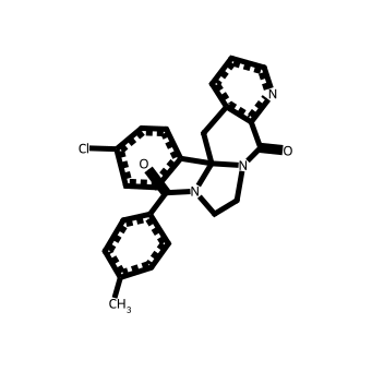 Cc1ccc(C(=O)N2CCN3C(=O)c4ncccc4CC23c2ccc(Cl)cc2)cc1